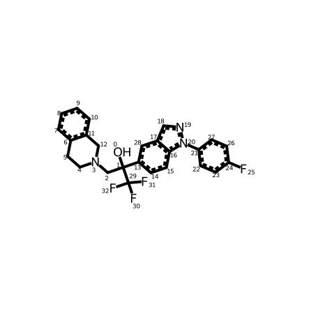 OC(CN1CCc2ccccc2C1)(c1ccc2c(cnn2-c2ccc(F)cc2)c1)C(F)(F)F